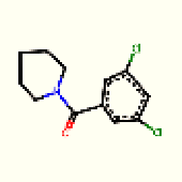 O=C(c1cc(Cl)cc(Cl)c1)N1CCCCC1